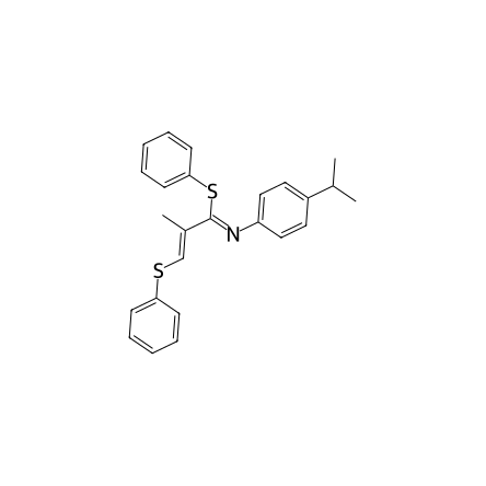 C/C(=C\Sc1ccccc1)C(=Nc1ccc(C(C)C)cc1)Sc1ccccc1